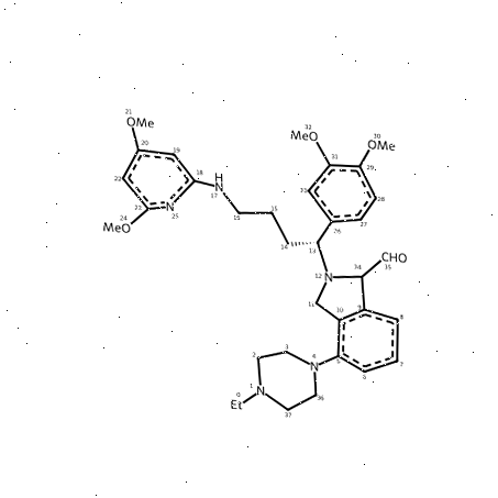 CCN1CCN(c2cccc3c2CN([C@H](CCCNc2cc(OC)cc(OC)n2)c2ccc(OC)c(OC)c2)C3C=O)CC1